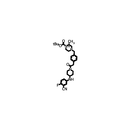 C[C@H]1CN(Cc2ccc(CC(=O)N3CCC(Nc4ccc(F)c(C#N)c4)CC3)cc2)CCN1C(=O)OC(C)(C)C